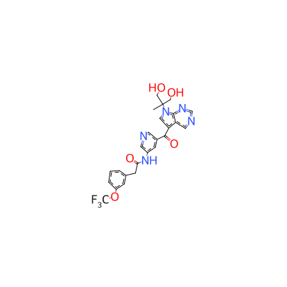 CC(CO)(CO)n1cc(C(=O)c2cncc(NC(=O)Cc3cccc(OC(F)(F)F)c3)c2)c2cncnc21